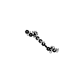 Nc1ncnc2c1c(-c1ccc(Oc3ccccc3)cc1)nn2C1CCN(C2CCN(c3ccc(C#Cc4ccc5c(c4)C(=O)N(C4CCC(=O)NC4=O)C5=O)cn3)CC2)CC1